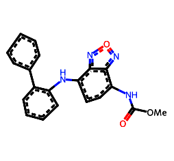 COC(=O)Nc1ccc(Nc2ccccc2-c2ccccc2)c2nonc12